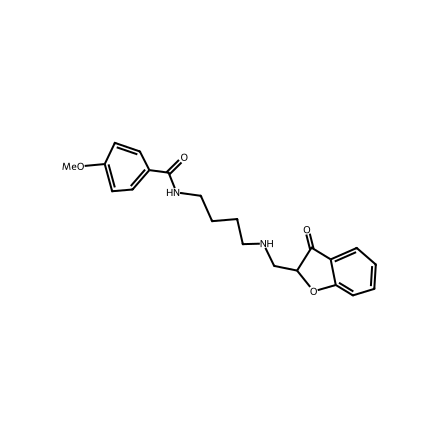 COc1ccc(C(=O)NCCCCNCC2Oc3ccccc3C2=O)cc1